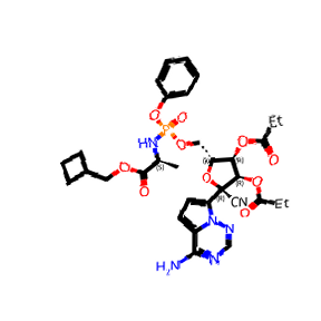 CCC(=O)O[C@H]1[C@@H](OC(=O)CC)[C@](C#N)(c2ccc3c(N)ncnn23)O[C@@H]1COP(=O)(N[C@@H](C)C(=O)OCC1CCC1)Oc1ccccc1